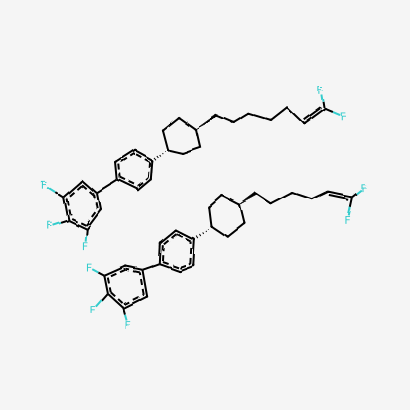 FC(F)=CCCCCC[C@H]1CC[C@H](c2ccc(-c3cc(F)c(F)c(F)c3)cc2)CC1.FC(F)=CCCCC[C@H]1CC[C@H](c2ccc(-c3cc(F)c(F)c(F)c3)cc2)CC1